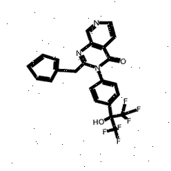 O=c1c2ccncc2nc(Cc2ccccc2)n1-c1ccc(C(O)(C(F)(F)F)C(F)(F)F)cc1